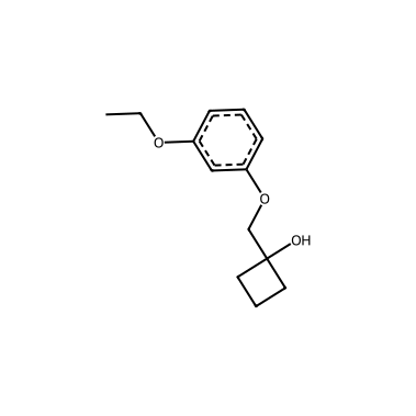 CCOc1cccc(OCC2(O)CCC2)c1